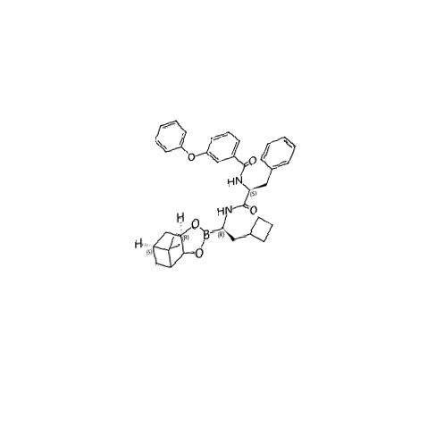 CC1(C)C2C[C@H]1C[C@H]1OB([C@H](CC3CCC3)NC(=O)[C@H](Cc3ccccc3)NC(=O)c3cccc(Oc4ccccc4)c3)OC21